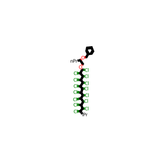 CCCC(COC(Cl)C(Cl)C(Cl)C(Cl)C(Cl)C(Cl)C(Cl)C(Cl)C(Cl)C(Cl)C(Cl)C(Cl)C(Cl)C(Cl)C(C)C)OCc1ccccc1